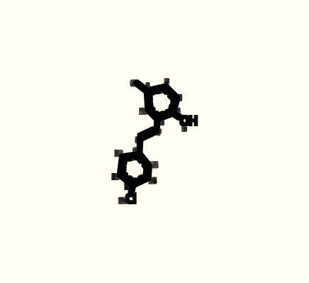 Cc1ccc(O)c(C=Cc2ccc(Cl)cc2)c1